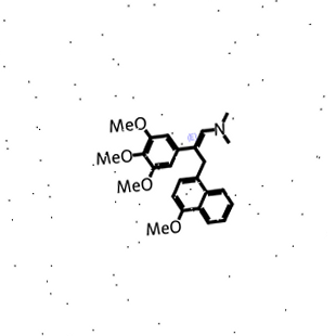 COc1cc(/C(=C/N(C)C)Cc2ccc(OC)c3ccccc23)cc(OC)c1OC